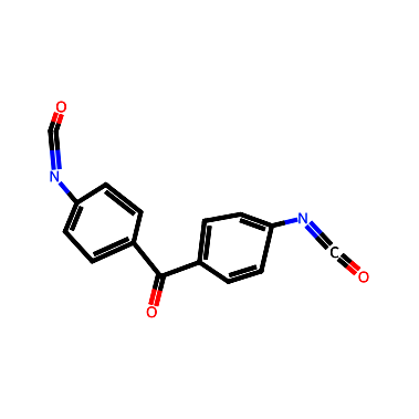 O=C=Nc1ccc(C(=O)c2ccc(N=C=O)cc2)cc1